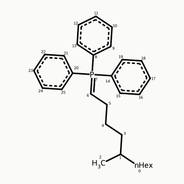 CCCCCCC(C)CCCC=P(c1ccccc1)(c1ccccc1)c1ccccc1